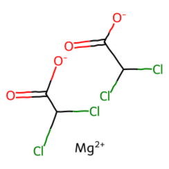 O=C([O-])C(Cl)Cl.O=C([O-])C(Cl)Cl.[Mg+2]